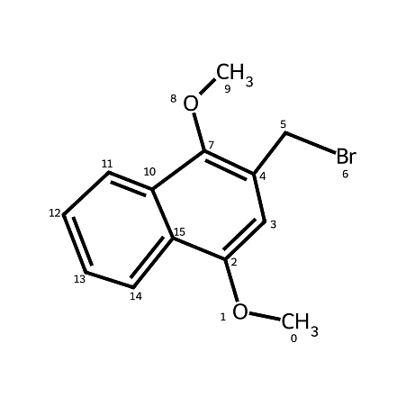 COc1cc(CBr)c(OC)c2ccccc12